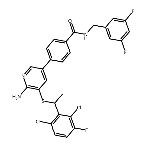 CC(Sc1cc(-c2ccc(C(=O)NCc3cc(F)cc(F)c3)cc2)cnc1N)c1c(Cl)ccc(F)c1Cl